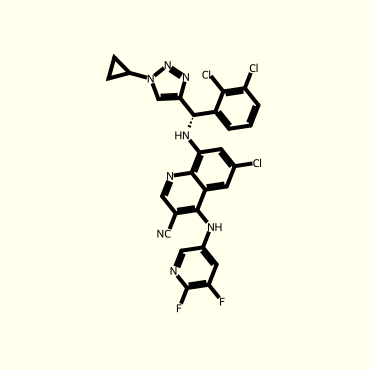 N#Cc1cnc2c(N[C@H](c3cn(C4CC4)nn3)c3cccc(Cl)c3Cl)cc(Cl)cc2c1Nc1cnc(F)c(F)c1